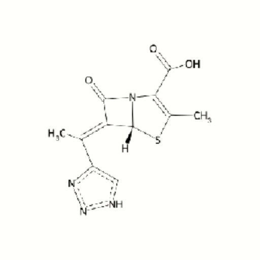 CC1=C(C(=O)O)N2C(=O)/C(=C(\C)c3c[nH]nn3)[C@H]2S1